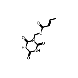 CC=CC(=O)OCn1c(=O)[nH]c(=O)[nH]c1=O